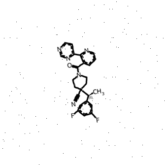 C[C@@H](c1cc(F)cc(F)c1)C1(C#N)CCN(C(=O)c2cccnc2-c2ccncn2)CC1